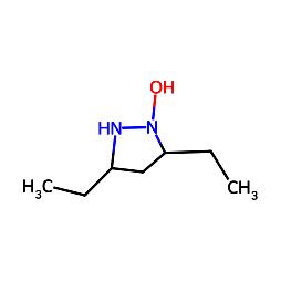 CCC1CC(CC)N(O)N1